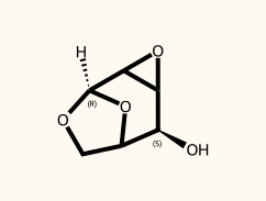 O[C@H]1C2CO[C@H](O2)C2OC21